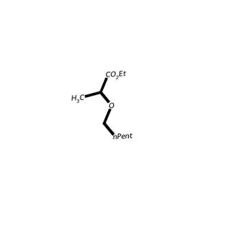 CCCCCCOC(C)C(=O)OCC